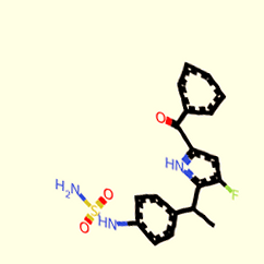 CC(c1ccc(NS(N)(=O)=O)cc1)c1[nH]c(C(=O)c2ccccc2)cc1F